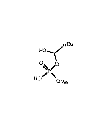 CCCCC(O)OP(=O)(O)OC